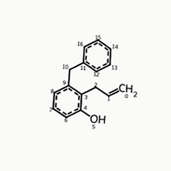 C=CCc1c(O)cccc1Cc1ccccc1